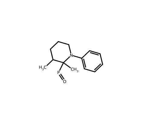 CC1CCCN(c2ccccc2)C1(C)P=O